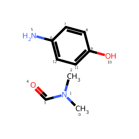 CN(C)C=O.Nc1ccc(O)cc1